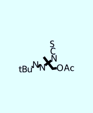 CC(=O)OCC(C)(N=C=S)N=NC(C)(C)C